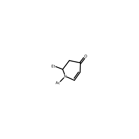 CCC1CC(=O)C=CN1C(C)=O